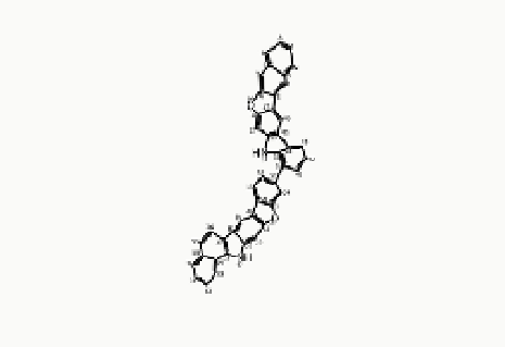 c1ccc2cc3c(cc2c1)oc1cc2[nH]c4c(-c5ccc6c(c5)oc5cc7[nH]c8c9ccccc9ccc8c7cc56)cccc4c2cc13